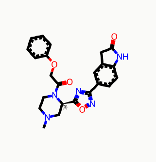 CN1CCN(C(=O)COc2ccccc2)[C@@H](c2nc(-c3ccc4c(c3)CC(=O)N4)no2)C1